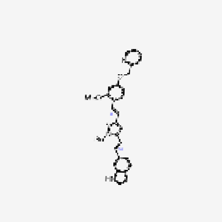 COc1cc(OCc2ccccn2)ccc1/C=C/c1cc(/C=C/c2ccc3cc[nH]c3c2)n(C(C)(C)C)n1